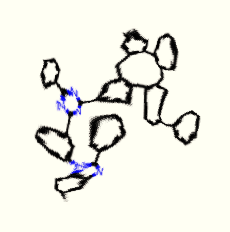 c1ccc(-c2ccc3c(c2)Cc2ccccc2-c2ccccc2Cc2cc(-c4nc(-c5ccccc5)nc(-c5cccc(-n6c(-c7ccccc7)nc7ccccc76)c5)n4)ccc2-3)cc1